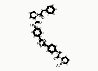 CC(=O)N1CCC[C@H]1C(=O)Nc1ccc(-c2nnc(-c3ccc(NC(=O)[C@@H]4CCCN4C(=O)Cc4ccccc4)cc3)o2)cc1